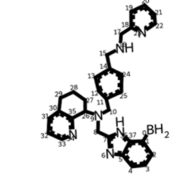 Bc1cccc2nc(CN(Cc3ccc(CNCc4ccccn4)cc3)C3CCCc4cccnc43)[nH]c12